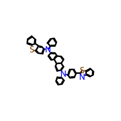 C1=CC2c3ccc(N(c4ccccc4)c4ccc5sc6ccccc6c5c4)cc3C=CC2C=C1N(c1ccccc1)c1ccc(-c2nc3ccccc3s2)cc1